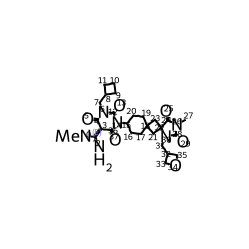 CN/C(N)=C1\C(=O)N(CC2CCC2)C(=O)N(C2CCC3(CC2)CC2(C3)C(=O)N(C)C(=O)N2CC2COC2)C1=O